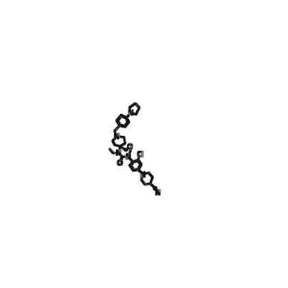 CCN(C(=O)N(C)c1ccc(N2CCC(C#N)CC2)cc1Cl)C1(C=O)CCN(Cc2ccc(N3CCCC3)cc2)CC1